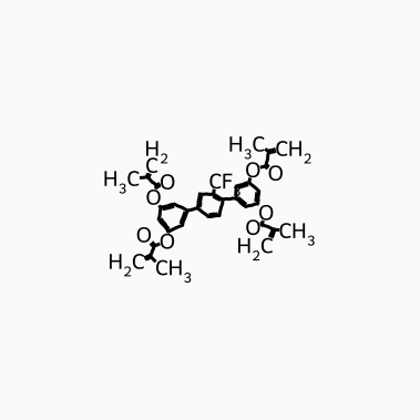 C=C(C)C(=O)Oc1cc(OC(=O)C(=C)C)cc(-c2ccc(-c3cc(OC(=O)C(=C)C)cc(OC(=O)C(=C)C)c3)c(C(F)(F)F)c2)c1